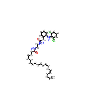 CC/C=C\C/C=C\C/C=C\CC=CC/C=C\C/C=C\CCC(=O)NCCNC(=O)Cc1ccccc1Nc1c(Cl)cccc1Cl